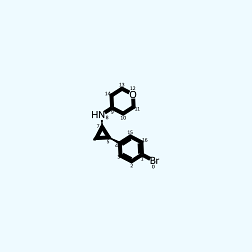 Brc1ccc([C@H]2C[C@@H]2NC2CCOCC2)cc1